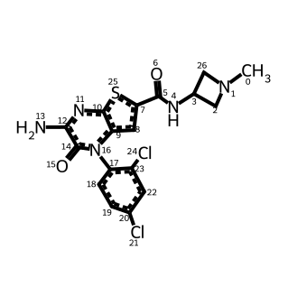 CN1CC(NC(=O)c2cc3c(nc(N)c(=O)n3-c3ccc(Cl)cc3Cl)s2)C1